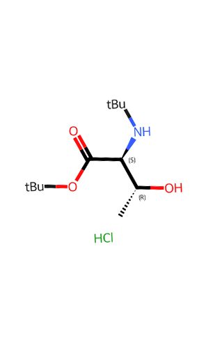 C[C@@H](O)[C@H](NC(C)(C)C)C(=O)OC(C)(C)C.Cl